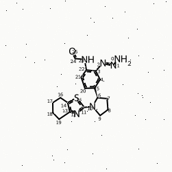 NN=Nc1cc([C@H]2CCCN2c2nc3c(s2)CCCC3)ccc1NC=O